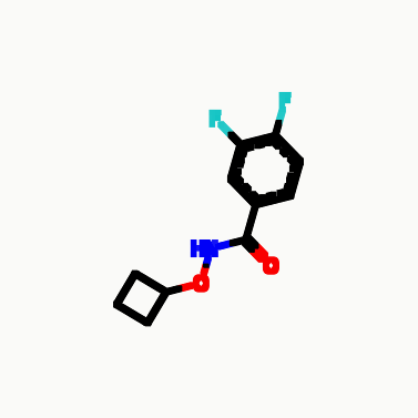 O=C(NOC1CCC1)c1ccc(F)c(F)c1